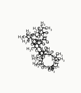 Cc1c2oc3c(C)ccc(C(=O)N[C@@H]4C(=O)NC(C(C)C)C(=O)N5CCC[C@H]5C(=O)N(C)CC(=O)N(C)C(C(C)C)C(=O)O[C@H]4C)c3nc-2c(C(=O)N[C@@H]2C(=O)C[C@@H]2OC(=O)C(C(C)C)N(C)C(=O)CN(C)C(=O)[C@@H]2CCCN2C(=O)C(N)C(C)C)c(N)c1=O